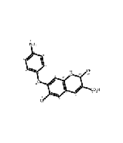 O=C(O)C1=Cc2cc(Cl)c(Oc3ccc([N+](=O)[O-])cc3)cc2OC1C(F)(F)F